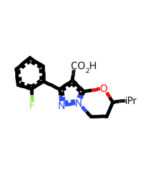 CC(C)C1CCn2nc(-c3ccccc3F)c(C(=O)O)c2O1